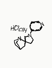 Cl.Cl.c1cncc(N2CCC3(CC4CCN3C4)C2)c1